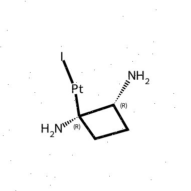 N[C@@H]1CC[C@@]1(N)[Pt][I]